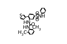 Cc1cccc(C)c1NC(=O)Nc1cc(S(=O)(=O)Nc2ccccc2)ccc1-c1ccsc1